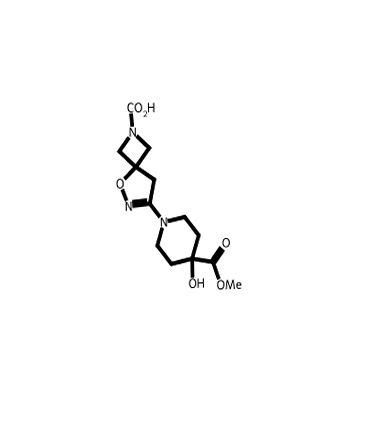 COC(=O)C1(O)CCN(C2=NOC3(C2)CN(C(=O)O)C3)CC1